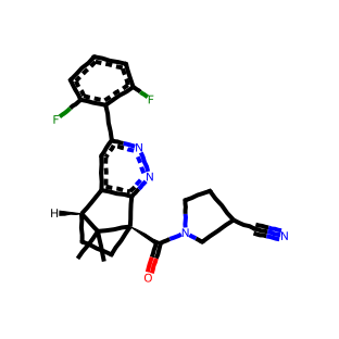 CC1(C)[C@@H]2CC[C@@]1(C(=O)N1CCC(C#N)C1)c1nnc(-c3c(F)cccc3F)cc12